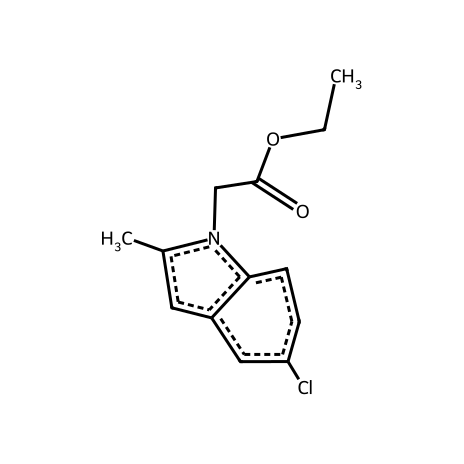 CCOC(=O)Cn1c(C)cc2cc(Cl)ccc21